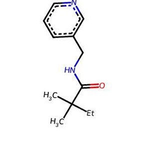 CCC(C)(C)C(=O)NCc1cccnc1